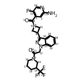 Nc1cc(C(=O)N2CC(c3nn(CC(=O)N4CCCC(C(F)(F)F)C4)c4ccccc34)C2)c(F)cn1